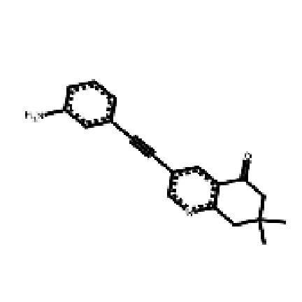 CC1(C)CC(=O)c2cc(C#Cc3cccc(N)c3)cnc2C1